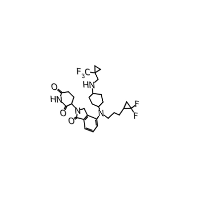 O=C1CCC(N2Cc3c(cccc3N(CCCC3CC3(F)F)C3CCC(NCC4(C(F)(F)F)CC4)CC3)C2=O)C(=O)N1